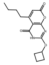 CCCCc1cc(=O)oc2nc(OC3CCC3)[nH]c(=O)c12